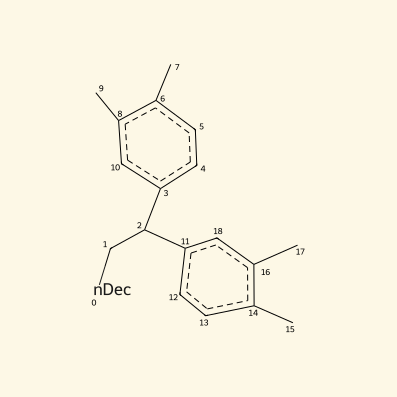 CCCCCCCCCCCC(c1ccc(C)c(C)c1)c1ccc(C)c(C)c1